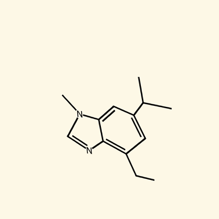 CCc1cc(C(C)C)cc2c1ncn2C